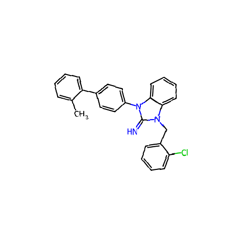 Cc1ccccc1-c1ccc(-n2c(=N)n(Cc3ccccc3Cl)c3ccccc32)cc1